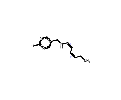 NC/C=C\C=C/NCc1cnc(Cl)nc1